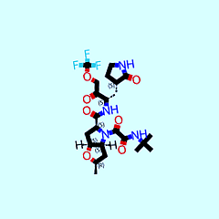 C[C@@H]1C[C@H]2[C@H](C[C@@H](C(=O)N[C@@H](C[C@@H]3CCNC3=O)C(=O)COC(F)(F)F)N2C(=O)C(=O)NC(C)(C)C)O1